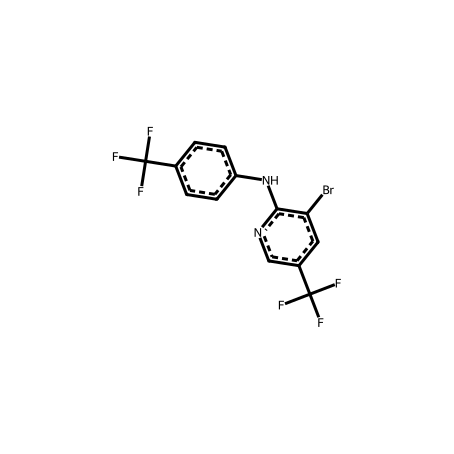 FC(F)(F)c1ccc(Nc2ncc(C(F)(F)F)cc2Br)cc1